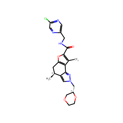 C[C@H]1Cc2oc(C(=O)NCc3cnc(Cl)cn3)c(C(F)(F)F)c2-c2nn(C[C@H]3COCCO3)cc21